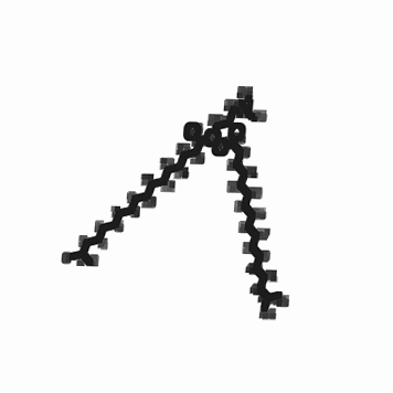 CC(C)CCCCCCCCCCCCCCC(=O)OCC(CN(C)C)OC(=O)CCCCCCCCCCCCCCC(C)C